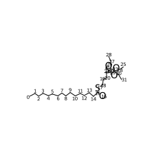 CCCCCCCCCCCCCCCC(=O)SCCCC[Si](OCC)(OCC)OCC